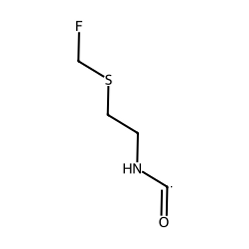 O=[C]NCCSCF